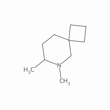 CC1CCC2(CCC2)CN1C